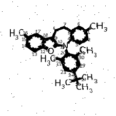 Cc1ccc2c(c1)CCc1c(oc3ccc(C)cc13)N2c1c(C)cc(C(C)(C)C)cc1C